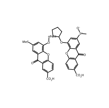 CCCCCOc1cc(SC)cc2c(=O)c3cc(C(=O)O)ccc3oc12.C[S+]([O-])c1cc(OC2CCCC2)c2oc3ccc(C(=O)O)cc3c(=O)c2c1